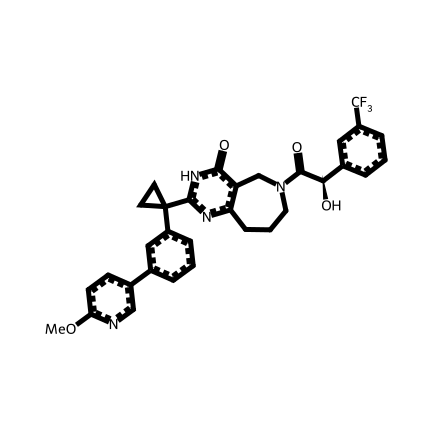 COc1ccc(-c2cccc(C3(c4nc5c(c(=O)[nH]4)CN(C(=O)[C@H](O)c4cccc(C(F)(F)F)c4)CCC5)CC3)c2)cn1